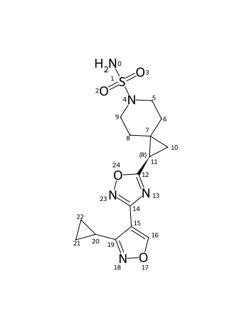 NS(=O)(=O)N1CCC2(CC1)C[C@H]2c1nc(-c2conc2C2CC2)no1